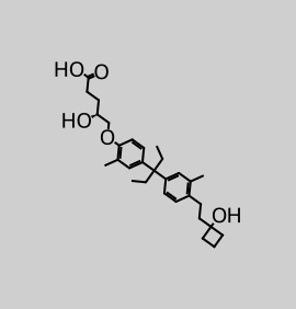 CCC(CC)(c1ccc(CCC2(O)CCC2)c(C)c1)c1ccc(OC[C@@H](O)CCC(=O)O)c(C)c1